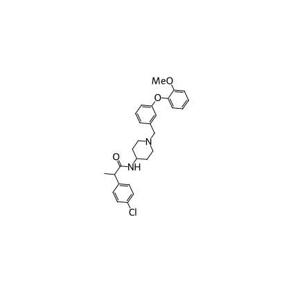 COc1ccccc1Oc1cccc(CN2CCC(NC(=O)C(C)c3ccc(Cl)cc3)CC2)c1